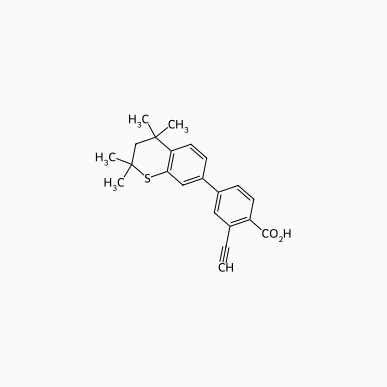 C#Cc1cc(-c2ccc3c(c2)SC(C)(C)CC3(C)C)ccc1C(=O)O